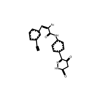 C#Cc1cccc(C=C(C(C)=O)C(=O)Nc2ccc(C3=NNC(=O)CC3=O)cc2)c1